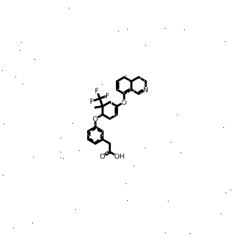 CC1(C(F)(F)F)CC(OC2=C3C=NCCC3CC=C2)=CCC1Oc1cccc(CC(=O)O)c1